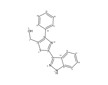 OCc1sc(-c2n[nH]c3ccccc23)nc1-c1ccccc1